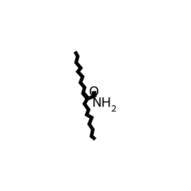 CCCCCCCCC=C(CCCCCCCC)C(N)=O